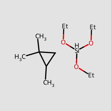 CC1CC1(C)C.CCO[SiH](OCC)OCC